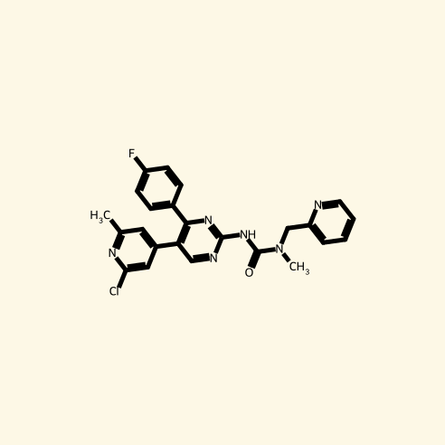 Cc1cc(-c2cnc(NC(=O)N(C)Cc3ccccn3)nc2-c2ccc(F)cc2)cc(Cl)n1